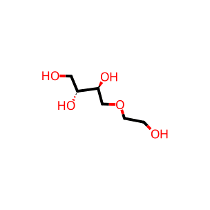 OCCOC[C@H](O)[C@H](O)CO